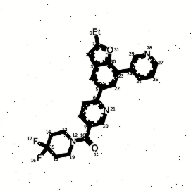 CCc1cc2cc(-c3ccc(C(=O)N4CCC(F)(F)CC4)cn3)cc(-c3cccnc3)c2o1